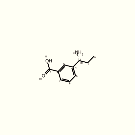 CC[C@@H](N)c1cccc(C(=O)O)c1